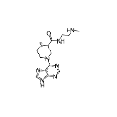 CNCCNC(=O)C1CN(c2ncnc3[nH]cnc23)CCS1